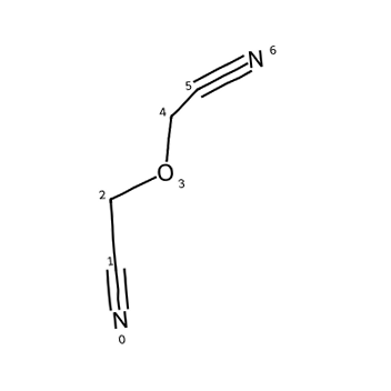 N#CCOCC#N